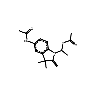 C=C1N(C(C)OC(C)=O)c2ccc(NC(C)=O)cc2C1(C)C